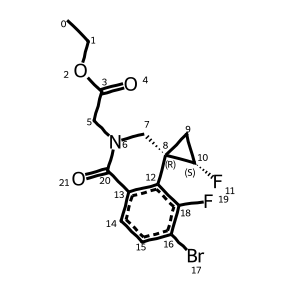 CCOC(=O)CN1C[C@@]2(C[C@@H]2F)c2c(ccc(Br)c2F)C1=O